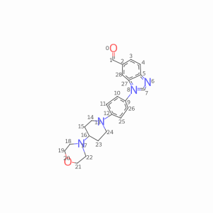 O=Cc1ccc2ncn(-c3ccc(N4CCC(N5CCOCC5)CC4)cc3)c2c1